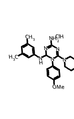 COc1ccc(N2C(N3CCOCC3)=NC(N)=NC2Nc2cc(C)cc(C)c2)cc1.Cl